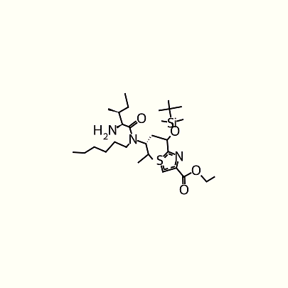 CCCCCCN(C(=O)[C@@H](N)[C@@H](C)CC)[C@H](CC(O[Si](C)(C)C(C)(C)C)c1nc(C(=O)OCC)cs1)C(C)C